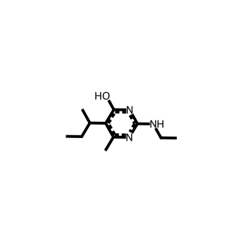 CCNc1nc(C)c(C(C)CC)c(O)n1